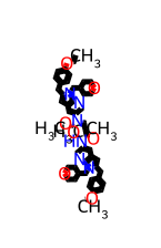 CCOc1ccc(Cc2cc3cc(NC(=O)C(C)(C)CN(C(=O)OC)c4cnc5c(c4)cc(Cc4ccc(OCC)cc4)n5CC4CCOCC4)cnc3n2CC2CCOCC2)cc1